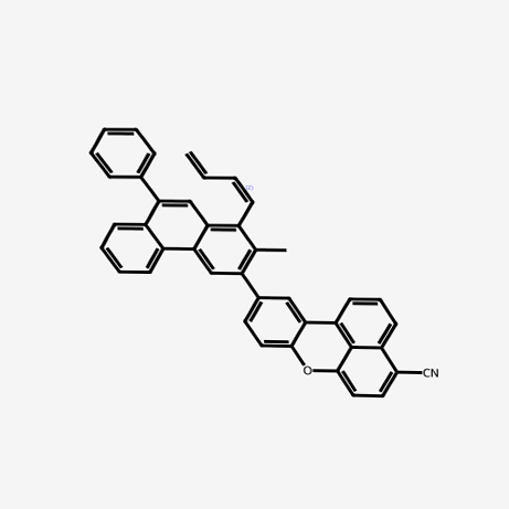 C=C/C=C\c1c(C)c(-c2ccc3c(c2)-c2cccc4c(C#N)ccc(c24)O3)cc2c1cc(-c1ccccc1)c1ccccc12